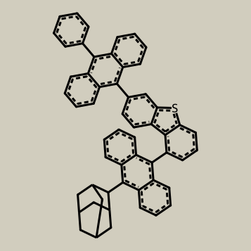 c1ccc(-c2c3ccccc3c(-c3ccc4c(c3)sc3cccc(-c5c6ccccc6c(C6C7CC8CC(C7)CC6C8)c6ccccc56)c34)c3ccccc23)cc1